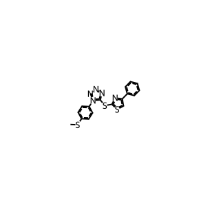 CSc1ccc(-n2nnnc2Sc2nc(-c3ccccc3)cs2)cc1